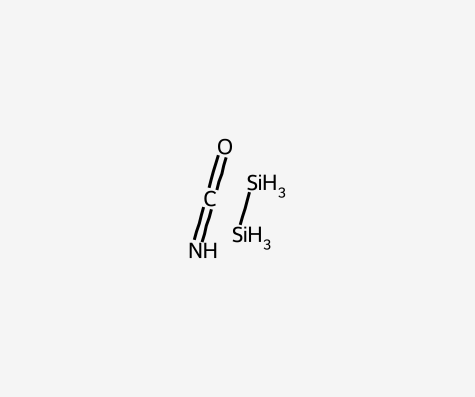 N=C=O.[SiH3][SiH3]